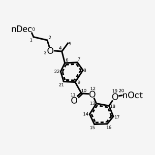 CCCCCCCCCCCCOC(C)c1ccc(C(=O)Oc2ccccc2OCCCCCCCC)cc1